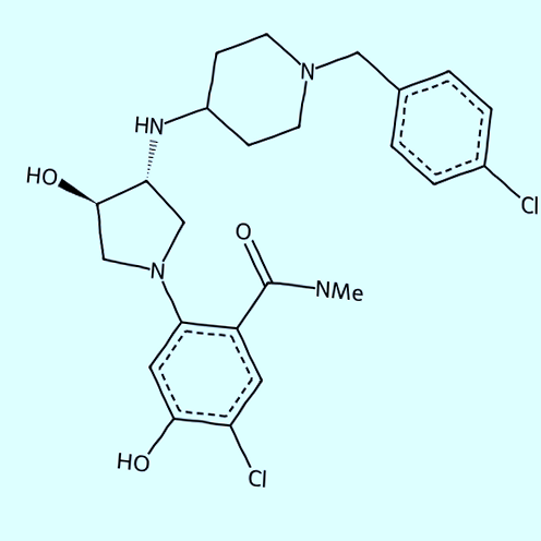 CNC(=O)c1cc(Cl)c(O)cc1N1C[C@@H](O)[C@H](NC2CCN(Cc3ccc(Cl)cc3)CC2)C1